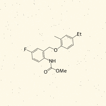 CCc1ccc(OCc2cc(F)ccc2NC(=O)OC)c(C)c1